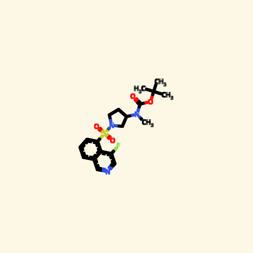 CN(C(=O)OC(C)(C)C)C1CCN(S(=O)(=O)c2cccc3cncc(F)c23)C1